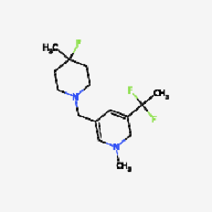 CN1C=C(CN2CCC(C)(F)CC2)C=C(C(C)(F)F)C1